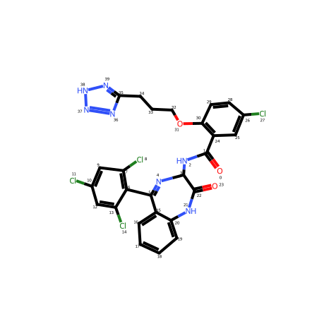 O=C(NC1N=C(c2c(Cl)cc(Cl)cc2Cl)c2ccccc2NC1=O)c1cc(Cl)ccc1OCCCc1nn[nH]n1